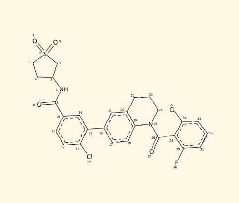 O=C(NC1CCS(=O)(=O)C1)c1ccc(Cl)c(-c2ccc3c(c2)CCCN3C(=O)c2c(F)cccc2Cl)c1